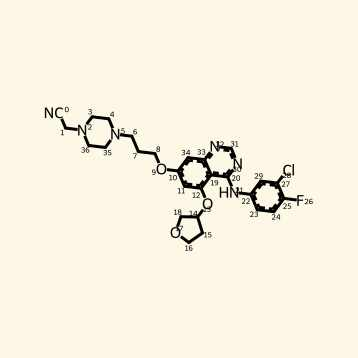 N#CCN1CCN(CCCOc2cc(OC3CCOC3)c3c(Nc4ccc(F)c(Cl)c4)ncnc3c2)CC1